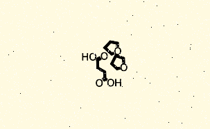 C1CCOC1.C1CCOC1.O=C(O)CCC(=O)O